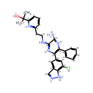 CC(C)(O)c1cccc(CCNc2nc(-c3cc(Cl)c4[nH]ncc4c3)c(-c3ccccc3)nc2N)n1